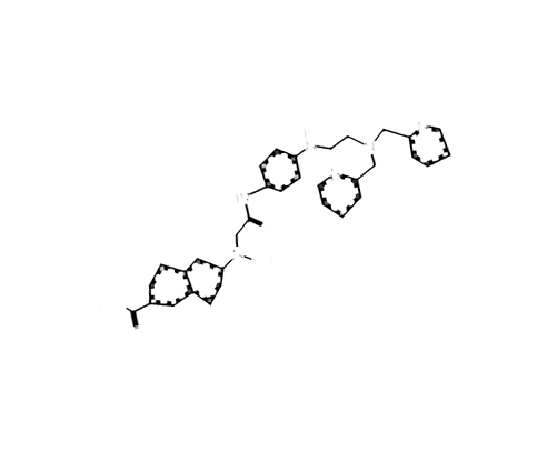 CC(=O)c1ccc2cc(N(C)CC(=O)Nc3ccc(NCCN(Cc4ccccn4)Cc4ccccn4)cc3)ccc2c1